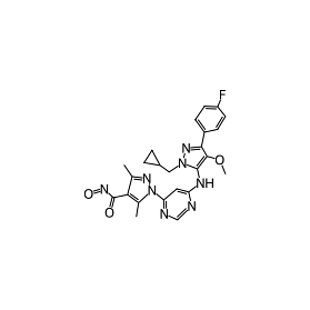 COc1c(-c2ccc(F)cc2)nn(CC2CC2)c1Nc1cc(-n2nc(C)c(C(=O)N=O)c2C)ncn1